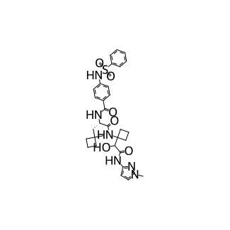 Cn1ccc(NC(=O)C(O)C2(NC(=O)[C@H](CC3(C)CCC3)NC(=O)c3ccc(NS(=O)(=O)c4ccccc4)cc3)CCC2)n1